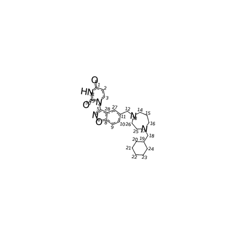 O=c1ccn(-c2noc3ccc(CN4CCCN(CC5CCCCC5)CC4)cc23)c(=O)[nH]1